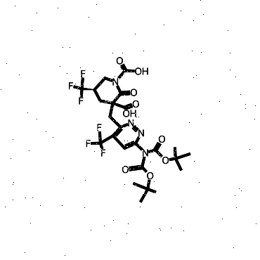 CC(C)(C)OC(=O)N(C(=O)OC(C)(C)C)c1cc(C(F)(F)F)c(CC2(C(=O)O)C[C@@H](C(F)(F)F)CN(C(=O)O)C2=O)nn1